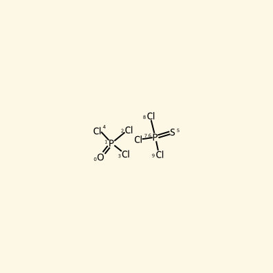 O=P(Cl)(Cl)Cl.S=P(Cl)(Cl)Cl